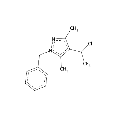 Cc1nn(Cc2ccccc2)c(C)c1C(Cl)C(F)(F)F